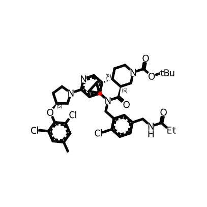 CCC(=O)NCc1ccc(Cl)c(CN(C(=O)[C@@H]2CN(C(=O)OC(C)(C)C)CC[C@H]2c2ccc(N3CC[C@H](Oc4c(Cl)cc(C)cc4Cl)C3)nc2)C2CC2)c1